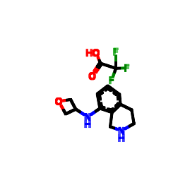 O=C(O)C(F)(F)F.c1cc2c(c(NC3COC3)c1)CNCC2